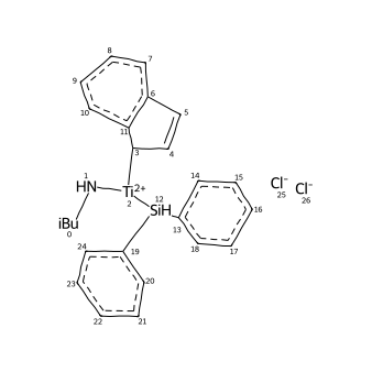 CCC(C)[NH][Ti+2]([CH]1C=Cc2ccccc21)[SiH](c1ccccc1)c1ccccc1.[Cl-].[Cl-]